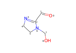 O=CC1=NCCN1CO